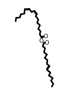 CCCCC/C=C\C/C=C\CCCCCCCC(=O)OC(=O)CCCCCCCC=CCCCCCC